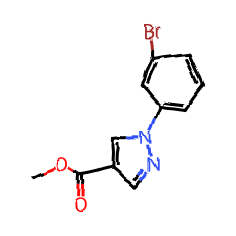 COC(=O)c1cnn(-c2cccc(Br)c2)c1